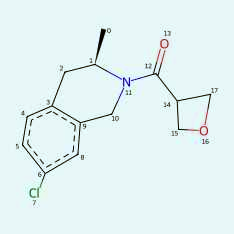 C[C@@H]1Cc2ccc(Cl)cc2CN1C(=O)C1COC1